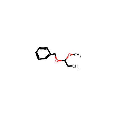 CCC(OC)OCc1ccccc1